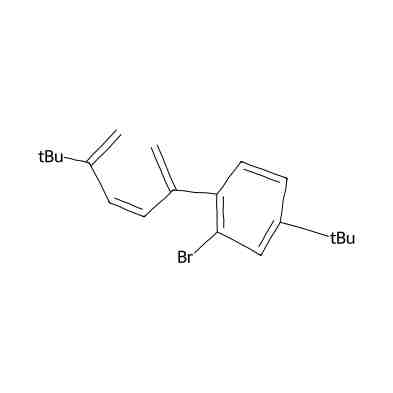 C=C(/C=C\C(=C)C(C)(C)C)c1ccc(C(C)(C)C)cc1Br